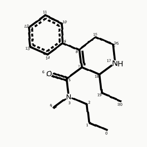 CCCN(C)C(=O)C1=C(c2ccccc2)CCNC1CC